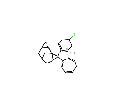 ClC1CC=C2[C@@H](C1)C1=CCC=CC=C1C21C2CC3CC4CC4C21C3